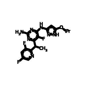 CC(C)Oc1cc(Nc2nc(N)nc(C(C)c3ncc(F)cc3F)c2F)n[nH]1